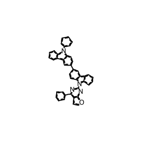 c1ccc(-c2nc(-n3c4ccccc4c4cc(-c5ccc6c(c5)c5ccccc5n6-c5ccccc5)ccc43)nc3occc23)cc1